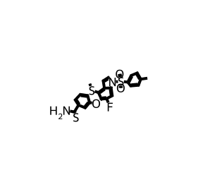 CSc1c(Oc2cccc(C(N)=S)c2)c(F)cc2c1ccn2S(=O)(=O)c1ccc(C)cc1